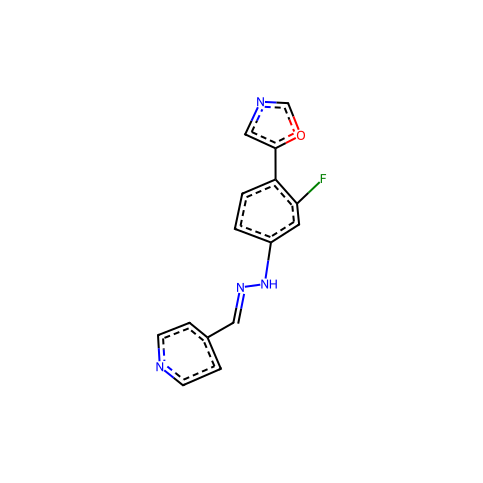 Fc1cc(NN=Cc2ccncc2)ccc1-c1cnco1